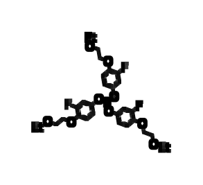 CCOCCOc1ccc(OB(Oc2ccc(OCCOCC)c(F)c2)Oc2ccc(OCCOCC)c(F)c2)cc1F